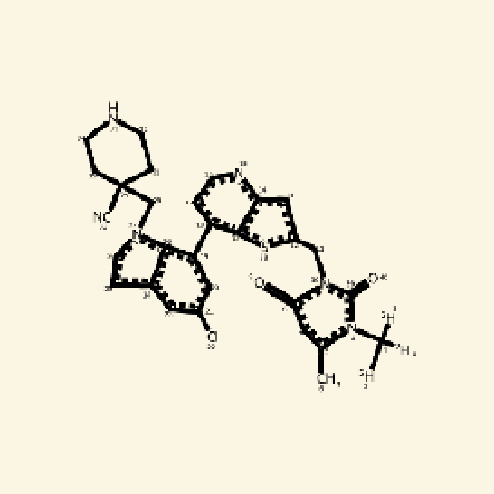 [2H]C([2H])([2H])n1c(C)cc(=O)n(Cc2cc3nccc(-c4cc(Cl)cc5ccn(CC6(C#N)CCNCC6)c45)c3s2)c1=O